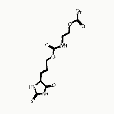 CC(C)C(=O)OCCNC(=O)OCCCC1NC(=S)NC1=O